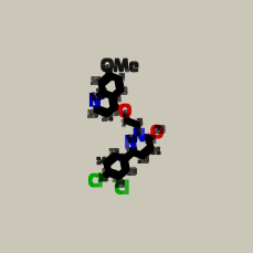 COc1ccc2c(OCCn3nc(-c4ccc(Cl)c(Cl)c4)ccc3=O)ccnc2c1